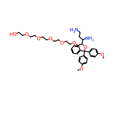 COc1ccc(C(OC(COCCOCCOCCOCCOCCO)C(N)CCN)(c2ccccc2)c2ccc(OC)cc2)cc1